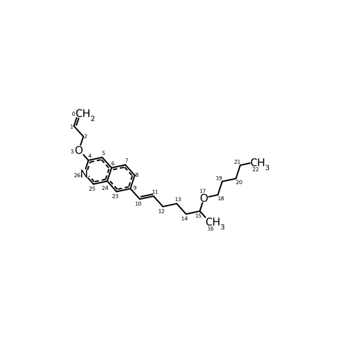 C=CCOc1cc2ccc(/C=C/CCCC(C)OCCCCC)cc2cn1